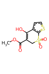 COC(=O)C1=C(O)c2ccsc2S(=O)(=O)C1